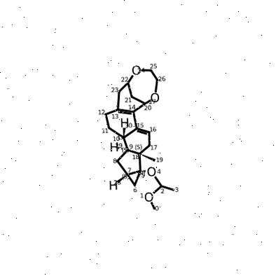 COC(C)O[C@]12C[C@@H]1C[C@H]1[C@@H]3CCC4=C(C3=CC[C@@]12C)C1CC(C4)OCCO1